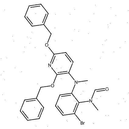 CN(C=O)c1c(Br)cccc1N(C)c1ccc(OCc2ccccc2)nc1OCc1ccccc1